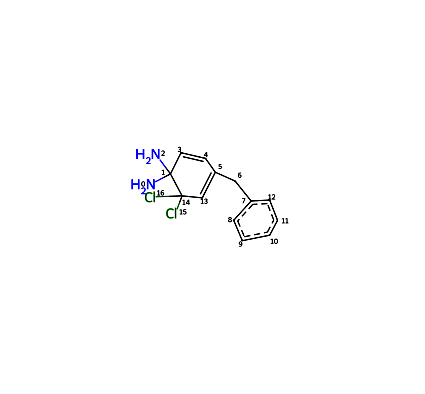 NC1(N)C=CC(Cc2ccccc2)=CC1(Cl)Cl